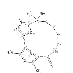 Nc1cc(C(F)(F)F)c2nc1-c1nnc(o1)C(O)(C(F)(F)F)CCCCNC2=O